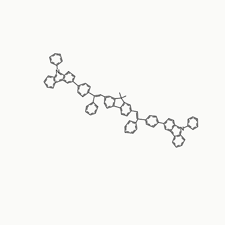 CC1(C)c2cc(/C=C(\c3ccccc3)c3ccc(-c4ccc5c(c4)c4ccccc4n5-c4ccccc4)cc3)ccc2-c2ccc(/C=C(\c3ccccc3)c3ccc(-c4ccc5c(c4)c4ccccc4n5-c4ccccc4)cc3)cc21